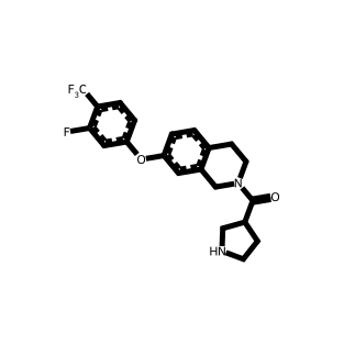 O=C(C1CCNC1)N1CCc2ccc(Oc3ccc(C(F)(F)F)c(F)c3)cc2C1